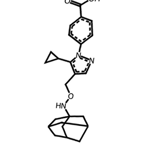 O=C(O)c1ccc(-n2ncc(CONC34CC5CC(CC(C5)C3)C4)c2C2CC2)cc1